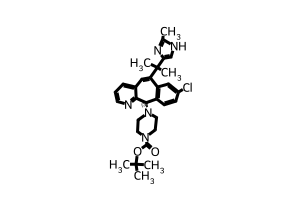 Cc1nc(C(C)(C)C2=Cc3cccnc3[C@@H](N3CCN(C(=O)OC(C)(C)C)CC3)c3ccc(Cl)cc32)c[nH]1